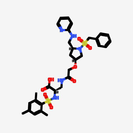 Cc1cc(C)c(S(=O)(=O)N[C@@H](CNC(=O)CO[C@@H]2C[C@@H](CNc3ccccn3)N(S(=O)(=O)Cc3ccccc3)C2)C(=O)O)c(C)c1